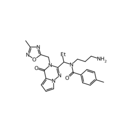 CCC(c1nn2cccc2c(=O)n1Cc1nc(C)no1)N(CCCN)C(=O)c1ccc(C)cc1